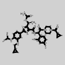 C[C@H](OC(N)=O)c1oc(-c2ccc(OC(F)F)c(OCC3CC3)c2)nc1C(=O)NC(C(=O)N1CCN(C(=O)C2CC2)CC1)c1ccc(F)cc1F